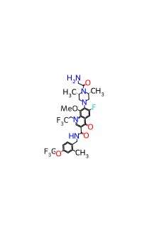 COc1c(N2C[C@@H](C)N(C(=O)CN)[C@@H](C)C2)c(F)cc2c(=O)c(C(=O)NCc3ccc(OC(F)(F)F)cc3C)cn(CC(F)(F)F)c12